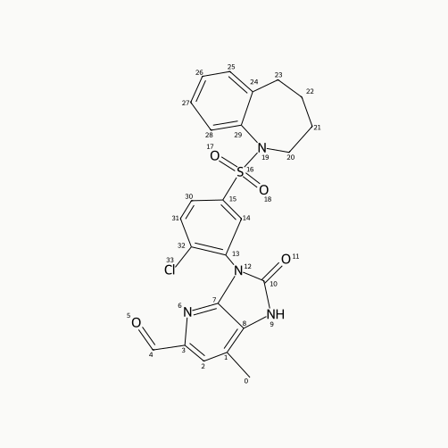 Cc1cc(C=O)nc2c1[nH]c(=O)n2-c1cc(S(=O)(=O)N2CCCCc3ccccc32)ccc1Cl